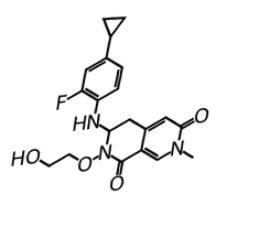 Cn1cc2c(cc1=O)CC(Nc1ccc(C3CC3)cc1F)N(OCCO)C2=O